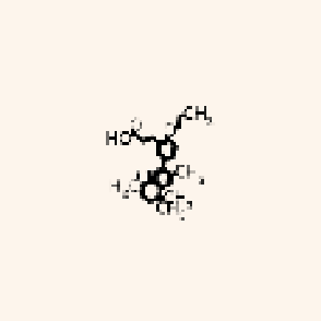 CCCOc1ccc(-c2cc3c(cc2C)C(C)(C)CCC3(C)C)cc1C=CC(=O)O